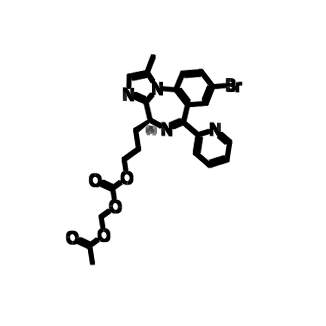 CC(=O)OCOC(=O)OCCC[C@@H]1N=C(c2ccccn2)c2cc(Br)ccc2-n2c(C)cnc21